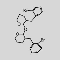 Brc1ccccc1CC1CCCOC1OC1OCCCC1Cc1ccccc1Br